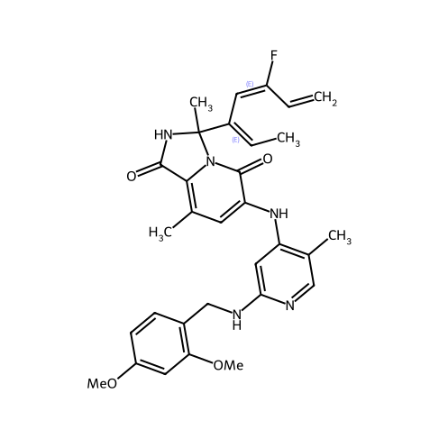 C=C/C(F)=C\C(=C/C)C1(C)NC(=O)c2c(C)cc(Nc3cc(NCc4ccc(OC)cc4OC)ncc3C)c(=O)n21